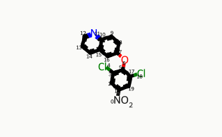 O=[N+]([O-])c1cc(Cl)c(Oc2ccc3ncccc3c2)c(Cl)c1